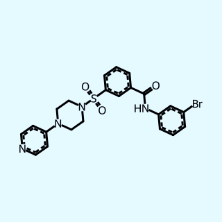 O=C(Nc1cccc(Br)c1)c1cccc(S(=O)(=O)N2CCN(c3ccncc3)CC2)c1